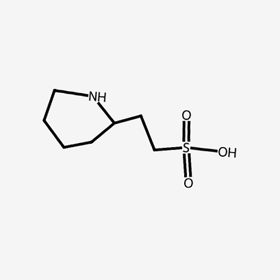 O=S(=O)(O)CCC1CCCCN1